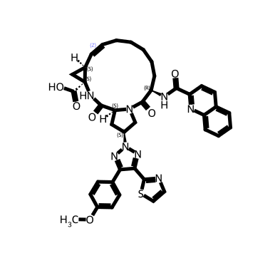 COc1ccc(-c2nn([C@H]3C[C@H]4C(=O)N[C@@]5(C(=O)O)C[C@H]5/C=C\CCCCC[C@@H](NC(=O)c5ccc6ccccc6n5)C(=O)N4C3)nc2-c2nccs2)cc1